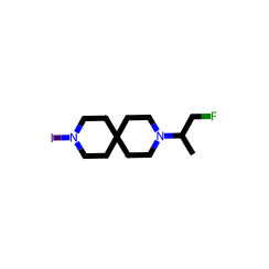 CC(CF)N1CCC2(CCN(I)CC2)CC1